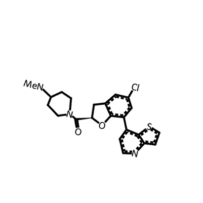 CNC1CCN(C(=O)[C@H]2Cc3cc(Cl)cc(-c4ccnc5ccsc45)c3O2)CC1